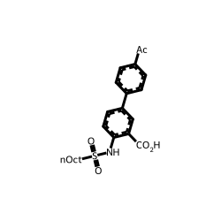 CCCCCCCCS(=O)(=O)Nc1ccc(-c2ccc(C(C)=O)cc2)cc1C(=O)O